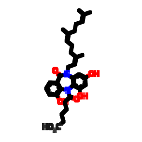 CC(C)=CCCC(C)=CCCC(C)=CCN1C(=O)c2cccc(O)c2N(C(=O)CCCCC(=O)O)c2c(O)cc(O)cc21